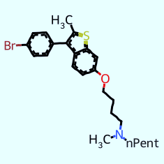 CCCCCN(C)CCCCOc1ccc2c(-c3ccc(Br)cc3)c(C)sc2c1